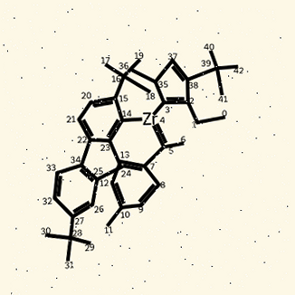 CCC1=[C](/[Zr](=[C](\C)c2ccc(C)cc2)[c]2c(C(C)(C)C)ccc3c2Cc2cc(C(C)(C)C)ccc2-3)C(C)C=C1C(C)(C)C